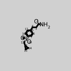 NC(=O)CCc1ccc(S(=O)(=O)CC2CC2)cc1